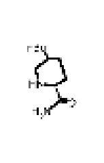 CCCC[C@H]1CC[C@@H](C(N)=O)NC1